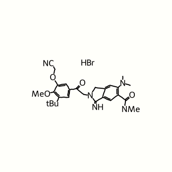 Br.CNC(=O)c1cc2c(cc1N(C)C)CN(CC(=O)c1cc(OCC#N)c(OC)c(C(C)(C)C)c1)C2=N